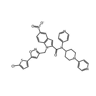 O=C(c1cc2cc([N+](=O)[O-])ccc2n1Cc1cc(-c2ccc(Cl)s2)on1)N(c1ccncc1)C1CCN(c2ccncc2)CC1